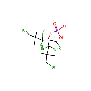 CC(C)(CBr)C(Br)(Br)C(CCl)(OP(=O)(O)O)C(Br)(Br)C(C)(C)CBr